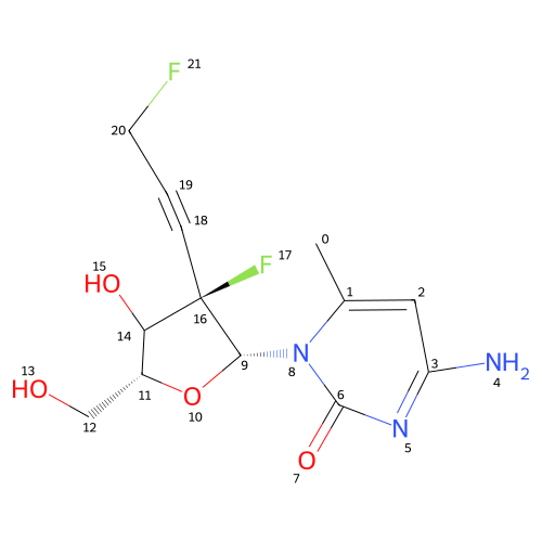 Cc1cc(N)nc(=O)n1[C@@H]1O[C@H](CO)C(O)[C@]1(F)C#CCF